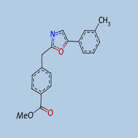 COC(=O)c1ccc(Cc2ncc(-c3cccc(C)c3)o2)cc1